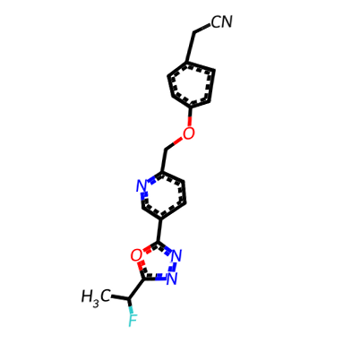 CC(F)c1nnc(-c2ccc(COc3ccc(CC#N)cc3)nc2)o1